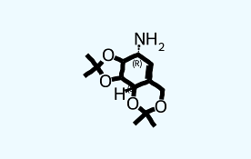 CC1(C)OC2C(O1)[C@H]1OC(C)(C)OCC1=C[C@H]2N